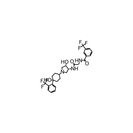 O=C(CNC(=O)c1cccc(C(F)(F)F)c1)N[C@H]1CN(C2CCC(O)(c3ccccc3C(F)(F)F)CC2)C[C@H]1O